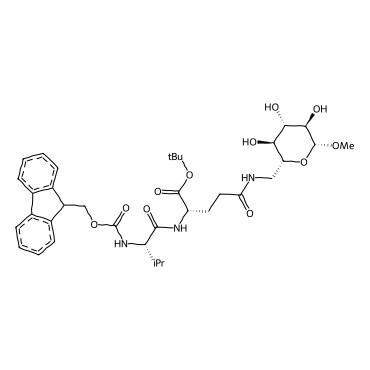 CO[C@@H]1O[C@H](CNC(=O)CC[C@H](NC(=O)[C@@H](NC(=O)OCC2c3ccccc3-c3ccccc32)C(C)C)C(=O)OC(C)(C)C)[C@@H](O)[C@H](O)[C@H]1O